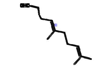 CC(C)=CCC/C(C)=C/CCC=O